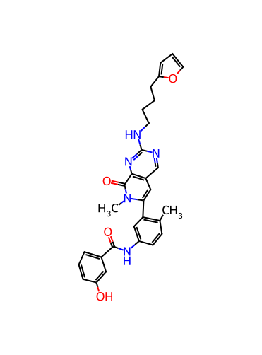 Cc1ccc(NC(=O)c2cccc(O)c2)cc1-c1cc2cnc(NCCCCc3ccco3)nc2c(=O)n1C